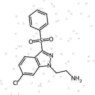 NCCn1nc(S(=O)(=O)c2ccccc2)c2ccc(Cl)cc21